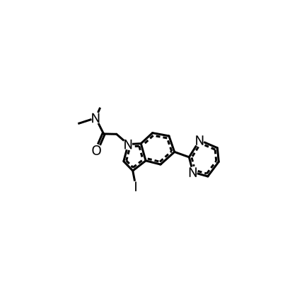 CN(C)C(=O)Cn1cc(I)c2cc(-c3ncccn3)ccc21